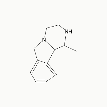 CC1NCCN2Cc3ccccc3C12